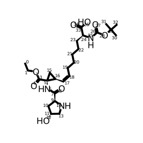 CCOC(=O)[C@@]1(NC(=O)[C@@H]2C[C@@H](O)CN2)C[C@H]1/C=C\CCCCC[C@H](NC(=O)OC(C)(C)C)C(=O)O